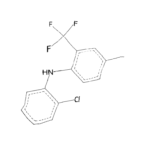 Cc1ccc(Nc2ccccc2Cl)c(C(F)(F)F)c1